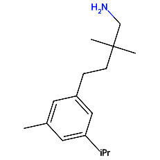 Cc1cc(CCC(C)(C)CN)cc(C(C)C)c1